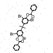 CC(C)(c1cc(Br)c(OC(=O)c2ccccc2)c(Br)c1)c1cc(Br)c(OC(=O)c2ccccc2)c(Br)c1